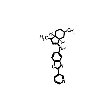 CC1C=C(Nc2ccc3oc(-c4cccnc4)nc3c2)[C@@H]2C[C@H](C)CC[C@@H]12